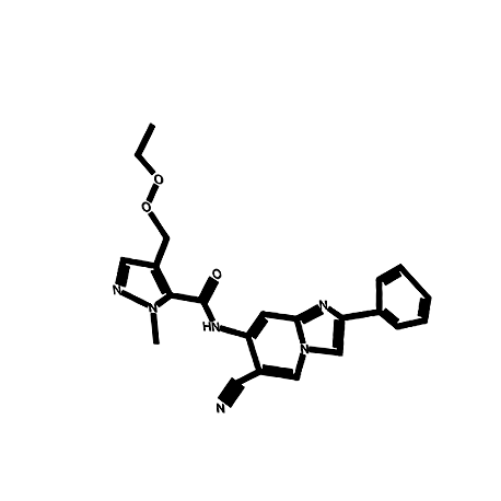 CCOOCc1cnn(C)c1C(=O)Nc1cc2nc(-c3ccccc3)cn2cc1C#N